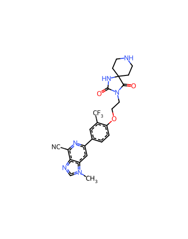 Cn1cnc2c(C#N)nc(-c3ccc(OCCN4C(=O)NC5(CCNCC5)C4=O)c(C(F)(F)F)c3)cc21